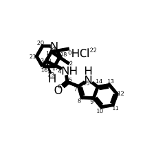 CC1(C)[C@H](NC(=O)c2cc3ccccc3[nH]2)C2CCN1CC2.Cl